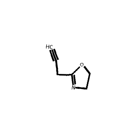 C#CCC1=NCCO1